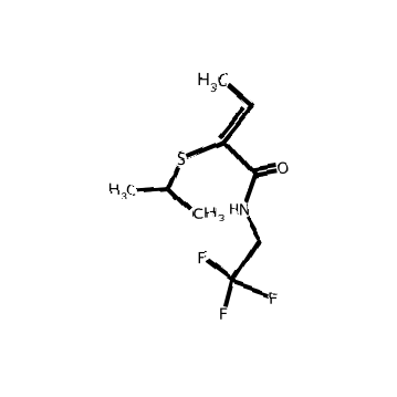 C/C=C(\SC(C)C)C(=O)NCC(F)(F)F